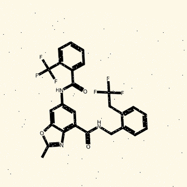 Cc1nc2c(C(=O)NCc3ccccc3CC(F)(F)F)cc(NC(=O)c3ccccc3C(F)(F)F)cc2o1